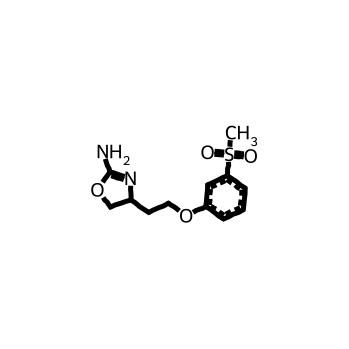 CS(=O)(=O)c1cccc(OCCC2COC(N)=N2)c1